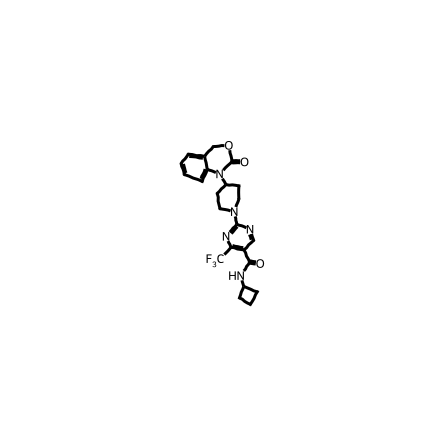 O=C(NC1CCC1)c1cnc(N2CCC(N3C(=O)OCc4ccccc43)CC2)nc1C(F)(F)F